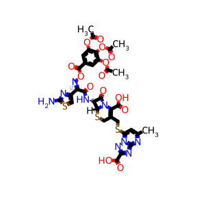 CC(=O)Oc1cc(C(=O)O/N=C(\C(=O)N[C@@H]2C(=O)N3C(C(=O)O)=C(CSc4cc(C)nc5nc(C(=O)O)nn45)CS[C@H]23)c2csc(N)n2)cc(OC(C)=O)c1OC(C)=O